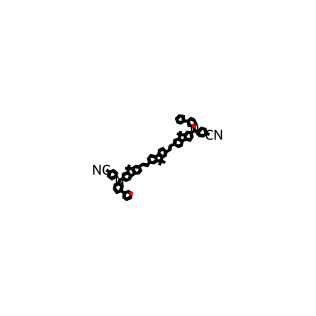 CC1(C)c2cc(/C=C/c3ccc4c(c3)C(C)(C)c3cc(N(c5ccc(C#N)cc5)c5cccc(-c6ccccc6)c5)ccc3-4)ccc2-c2ccc(/C=C/c3ccc4c(c3)C(C)(C)c3cc(N(c5ccc(C#N)cc5)c5cccc(-c6ccccc6)c5)ccc3-4)cc21